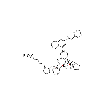 CCOC(=O)CCCCN1CCC[C@H]1COc1nc2c(c(N3CC4CCC(C3)N4C(=O)OCc3ccccc3)n1)CCN(c1cc(OCc3ccccc3)cc3ccccc13)C2